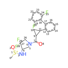 C[S+]([O-])NC1CN(C(=O)C2CC2c2ccccc2-c2c(F)cccc2F)CC1(F)F